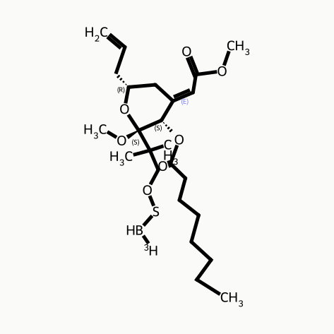 [3H]BSOCC(C)(C)[C@]1(OC)O[C@H](CC=C)C/C(=C\C(=O)OC)[C@@H]1OC(=O)CCCCCCC